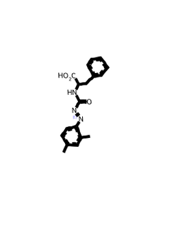 Cc1ccc(/N=N/C(=O)NC(Cc2ccccc2)C(=O)O)c(C)c1